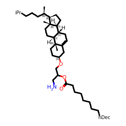 CCCCCCCCCCCCCCCCCC(=O)OC(CN)CO[C@H]1CC[C@@]2(C)C(=CC[C@H]3[C@@H]4CC[C@H]([C@H](C)CCCC(C)C)[C@@]4(C)CC[C@@H]32)C1